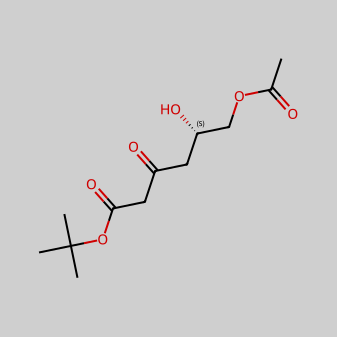 CC(=O)OC[C@@H](O)CC(=O)CC(=O)OC(C)(C)C